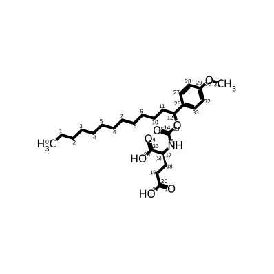 CCCCCCCCCCCCC(OC(=O)N[C@@H](CCC(=O)O)C(=O)O)c1ccc(OC)cc1